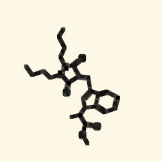 CCCCN1C(=O)C(=CC2=CC(C(C)C(=O)OC)c3ccccc32)C(=O)N1CCCC